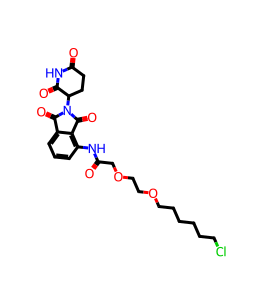 O=C1CCC(N2C(=O)c3cccc(NC(=O)COCCOCCCCCCCl)c3C2=O)C(=O)N1